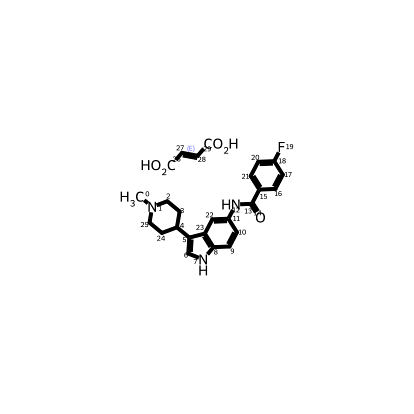 CN1CCC(c2c[nH]c3ccc(NC(=O)c4ccc(F)cc4)cc23)CC1.O=C(O)/C=C/C(=O)O